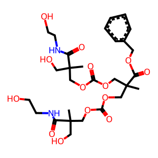 CC(CO)(COC(=O)OCC(C)(COC(=O)OCC(C)(CO)C(=O)NCCO)C(=O)OCc1ccccc1)C(=O)NCCO